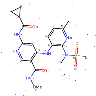 CONC(=O)c1cnc(NC(=O)C2CC2)cc1Nc1ccc(C)nc1N(C)S(C)(=O)=O